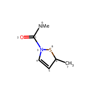 CNC(=O)N1C=CC(C)S1